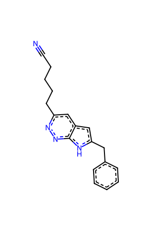 N#CCCCCc1cc2cc(Cc3ccccc3)[nH]c2nn1